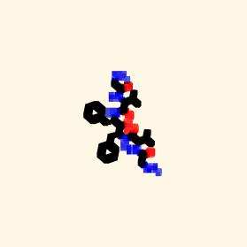 CC(C)[C@H](NC(=O)CN)C(=O)N[C@@H](Cc1ccccc1)C(O)[C@H](Cc1ccccc1)NC(=O)[C@@H](NC(=O)CN)C(C)C